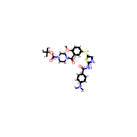 COc1ccc(Sc2cnc(NC(=O)c3ccc(N(C)C)cc3)s2)cc1C(=O)N1CCN(C(=O)OC(C)(C)C)CC1